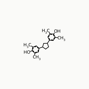 Cc1cc(C2CCC(c3cc(C)c(O)c(C)c3)C2)cc(C)c1O